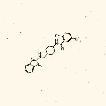 Cn1c(NCC2CCC(NC(=O)c3cc(C(F)(F)F)ccc3Cl)CC2)nc2ccccc21